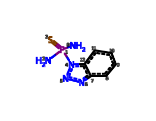 NP(N)(=S)n1nnc2ccccc21